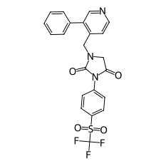 O=C1CN(Cc2ccncc2-c2ccccc2)C(=O)N1c1ccc(S(=O)(=O)C(F)(F)F)cc1